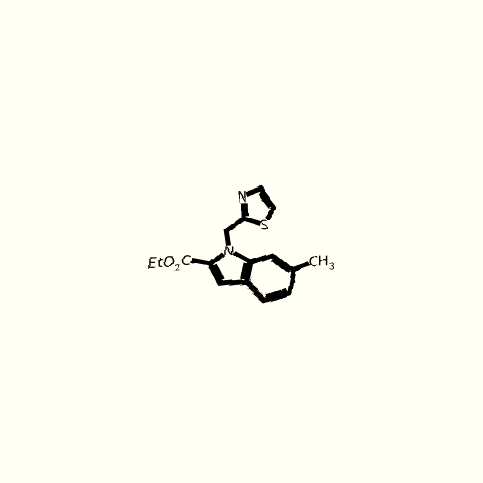 CCOC(=O)c1cc2ccc(C)cc2n1Cc1nccs1